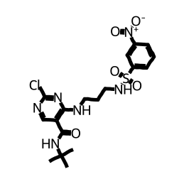 CC(C)(C)NC(=O)c1cnc(Cl)nc1NCCCNS(=O)(=O)c1cccc([N+](=O)[O-])c1